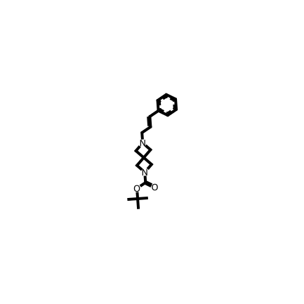 CC(C)(C)OC(=O)N1CC2(CN(CC=Cc3ccccc3)C2)C1